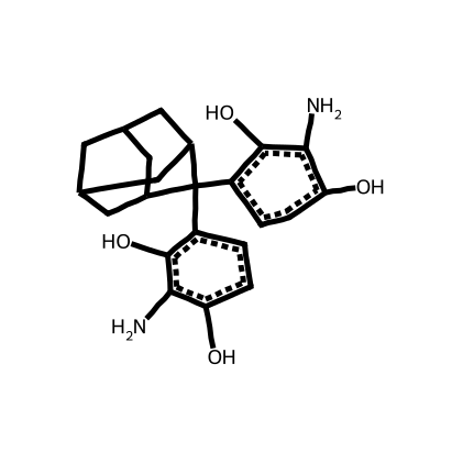 Nc1c(O)ccc(C2(c3ccc(O)c(N)c3O)C3CC4CC(C3)CC2C4)c1O